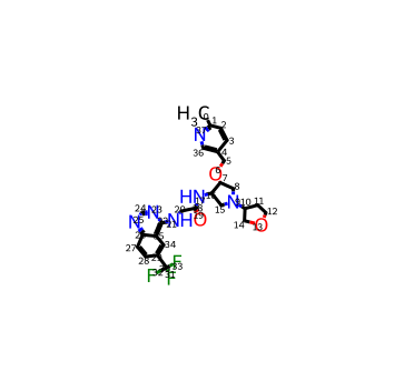 Cc1ccc(CO[C@H]2CN(C3CCOC3)CC2NC(=O)CNc2ncnc3ccc(C(F)(F)F)cc23)cn1